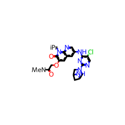 CNC(=O)COc1cc2cc(Nc3nc(N4CC5CC(C4)N5)ncc3Cl)cnc2n(C(C)C)c1=O